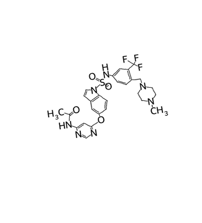 CC(=O)Nc1cc(Oc2ccc3c(ccn3S(=O)(=O)Nc3ccc(CN4CCN(C)CC4)c(C(F)(F)F)c3)c2)ncn1